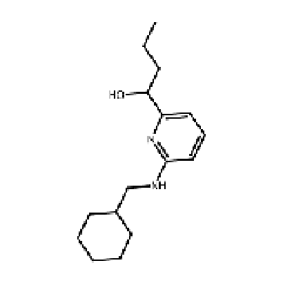 CCCC(O)c1cccc(NCC2CCCCC2)n1